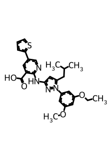 CCOc1cc(OC)cc(-n2nc(Nc3ncc(-c4cccs4)cc3C(=O)O)cc2CC(C)C)c1